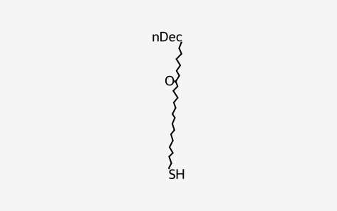 CCCCCCCCCCCCCCCCCC(=O)CCCCCCCCCCCCCCCCS